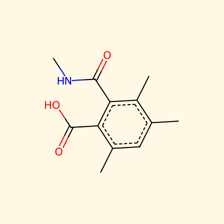 CNC(=O)c1c(C)c(C)cc(C)c1C(=O)O